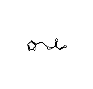 O=CC(=O)OCc1ccco1